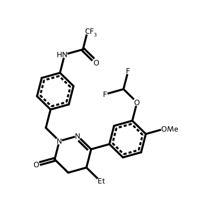 CCC1CC(=O)N(Cc2ccc(NC(=O)C(F)(F)F)cc2)N=C1c1ccc(OC)c(OC(F)F)c1